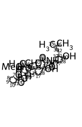 CO[C@@H]1[C@H]2OP(=O)(c3ccccc3)O[C@H]2[C@H](Cc2ccc3c(O)c(NC(=O)c4ccc(O)c(CC=C(C)C)c4)c(=O)oc3c2C)OC1(C)C